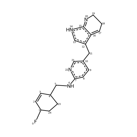 FC1C=CC(CNc2ccc(Cc3c[nH]c4c3=CCCN=4)cn2)CC1